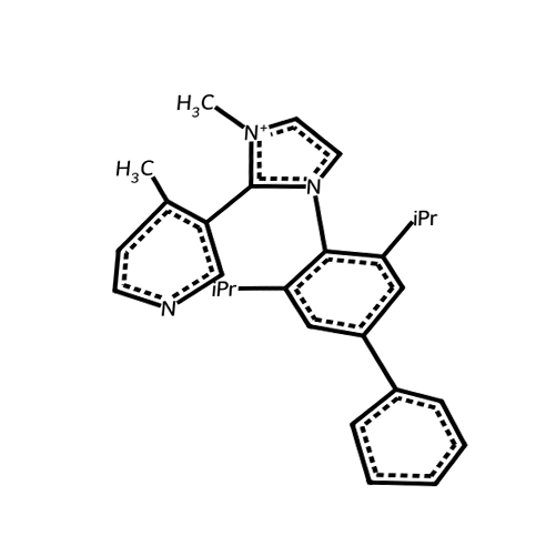 Cc1ccncc1-c1n(-c2c(C(C)C)cc(-c3ccccc3)cc2C(C)C)cc[n+]1C